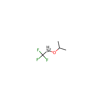 CC(C)O[SiH2]C(F)(F)F